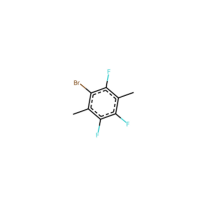 Cc1c(F)c(F)c(C)c(Br)c1F